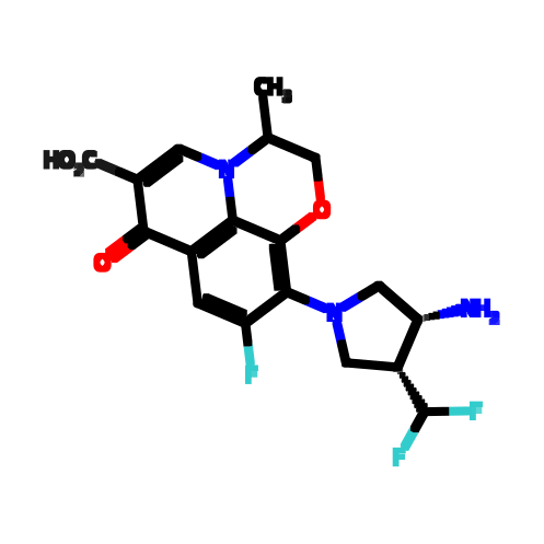 CC1COc2c(N3C[C@H](N)[C@H](C(F)F)C3)c(F)cc3c(=O)c(C(=O)O)cn1c23